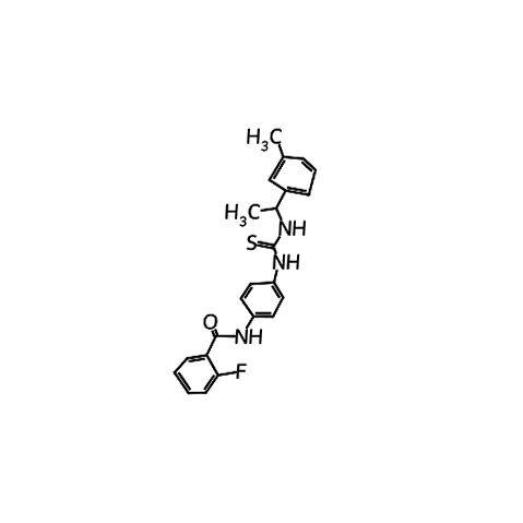 Cc1cccc(C(C)NC(=S)Nc2ccc(NC(=O)c3ccccc3F)cc2)c1